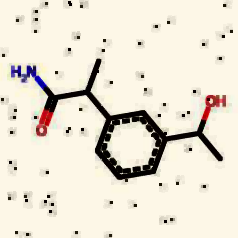 CC(O)c1cccc(C(C)C(N)=O)c1